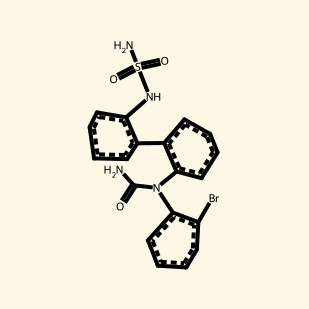 NC(=O)N(c1ccccc1Br)c1ccccc1-c1ccccc1NS(N)(=O)=O